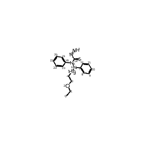 CCOC[CH2][Hg][N](c1ccccc1)N(C(=S)N=N)c1ccccc1